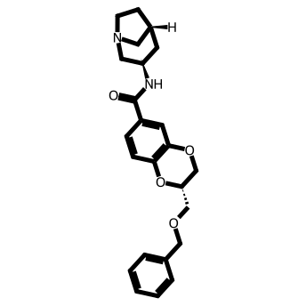 O=C(N[C@@H]1C[C@H]2CCN(C2)C1)c1ccc2c(c1)OC[C@H](COCc1ccccc1)O2